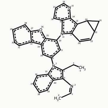 C/C=N\c1c(CC)n(-c2cc(-n3c4c(c5ncccc53)C3CC3C=C4)c3oc4ccccc4c3c2)c2ccccc12